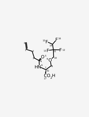 C=CCCC(=O)N[C@@H](COCC(F)(F)C(F)F)C(=O)O